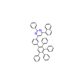 c1ccc(-c2nc(-c3cccc(-c4cc(-c5ccccc5)c(-c5ccccc5)c(-c5ccccc5)c4-c4ccccc4)c3)cc(-c3cccc4ccccc34)n2)cc1